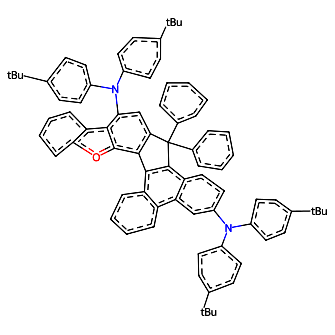 CC(C)(C)c1ccc(N(c2ccc(C(C)(C)C)cc2)c2ccc3c4c(c5ccccc5c3c2)-c2c(cc(N(c3ccc(C(C)(C)C)cc3)c3ccc(C(C)(C)C)cc3)c3c2oc2ccccc23)C4(c2ccccc2)c2ccccc2)cc1